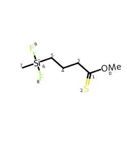 COC(=S)CCC[Si](C)(F)F